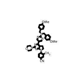 COc1ccc(CN(Cc2ccc(OC)cc2)c2ncc(-c3nc(N4CCOCC4)nc4c3CCN4c3ccc(C#N)cc3C)cn2)cc1